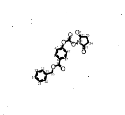 O=C(Oc1ccc(C(=O)OCc2ccccc2)cc1)ON1C(=O)CCC1=O